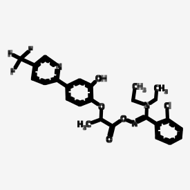 CCN(CC)C(=NOC(=O)C(C)Oc1ccc(-c2ccc(C(F)(F)F)cn2)cc1O)c1ccccc1Cl